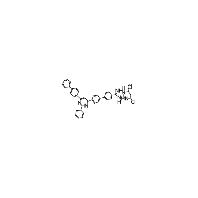 N=C(NC1NC(Cl)=CC(Cl)N1)c1ccc(-c2ccc(-c3cc(-c4ccc(-c5ccccc5)cc4)nc(-c4ccccc4)n3)cc2)cc1